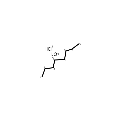 CCCCCCCC.Cl.O